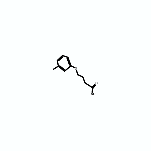 Cc1cccc(SCCCC(=O)N=O)c1